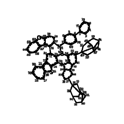 c1ccc(-c2ccc(N3B4c5c(cc6c(sc7ccccc76)c5-n5c6ccc(C78CC9CC(CC(C9)C7)C8)cc6c6cc(C78CC9CC(CC(C9)C7)C8)cc4c65)-c4c3ccc3oc5ccccc5c43)cc2)cc1